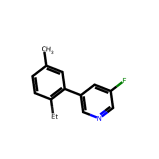 CCc1ccc(C)cc1-c1cncc(F)c1